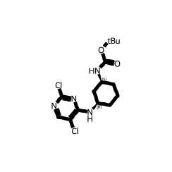 CC(C)(C)OC(=O)N[C@H]1CCC[C@@H](Nc2nc(Cl)ncc2Cl)C1